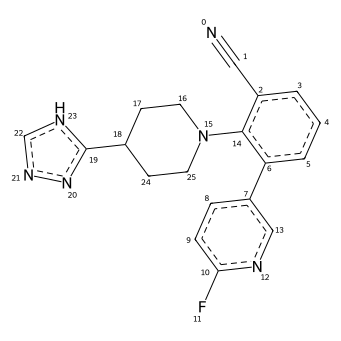 N#Cc1cccc(-c2ccc(F)nc2)c1N1CCC(c2nnc[nH]2)CC1